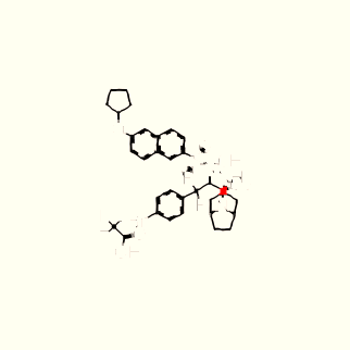 CN(C(C(=O)N1C2CCC1CC(N)C2)C(F)(F)c1ccc(Br)cc1)S(=O)(=O)c1ccc2cc(OC3CCCC3)ccc2c1.O=C(O)C(F)(F)F